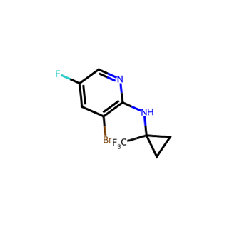 Fc1cnc(NC2(C(F)(F)F)CC2)c(Br)c1